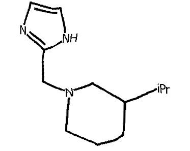 CC(C)C1CCCN(Cc2ncc[nH]2)C1